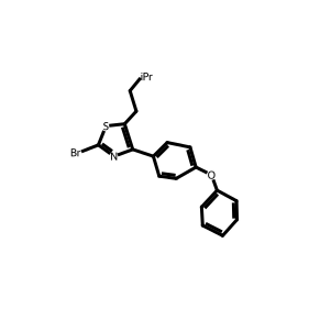 CC(C)CCc1sc(Br)nc1-c1ccc(Oc2ccccc2)cc1